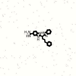 N=C(N)c1ccc2nc(C(CCCc3ccccc3)c3nc4ccccc4[nH]3)[nH]c2c1